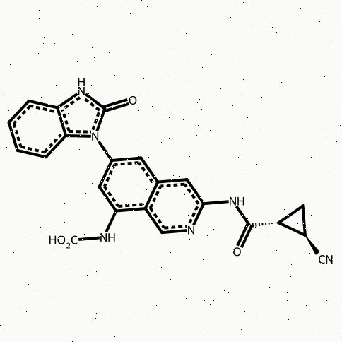 N#C[C@@H]1C[C@H]1C(=O)Nc1cc2cc(-n3c(=O)[nH]c4ccccc43)cc(NC(=O)O)c2cn1